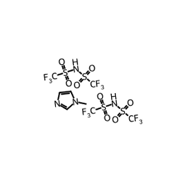 Cn1ccnc1.O=S(=O)(NS(=O)(=O)C(F)(F)F)C(F)(F)F.O=S(=O)(NS(=O)(=O)C(F)(F)F)C(F)(F)F